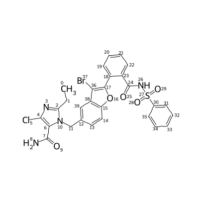 CCc1nc(Cl)c(C(N)=O)n1Cc1ccc2oc(-c3ccccc3C(=O)NS(=O)(=O)c3ccccc3)c(Br)c2c1